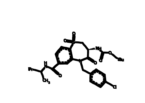 CC(C)C(C)NC(=O)c1ccc2c(c1)N(Cc1ccc(Cl)cc1)C(=O)[C@@H](NC(=O)OC(C)(C)C)CS2(=O)=O